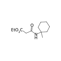 CCOC(=O)CC(=O)NC1(C)CCCCC1